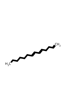 C=CCCC=CC=CCCCCCC